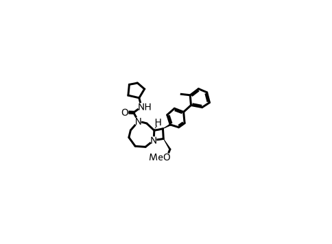 COC[C@@H]1[C@H](c2ccc(-c3ccccc3C)cc2)[C@@H]2CN(C(=O)NC3CCCC3)CCCCN12